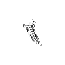 C=C(C)C(=O)OC(CC)C(F)(F)C(F)(F)C(F)(F)C(F)(F)C(F)(F)C(F)(F)C(F)(F)C(F)(F)F